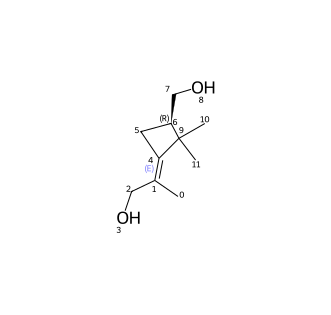 C/C(CO)=C1/C[C@@H](CO)C1(C)C